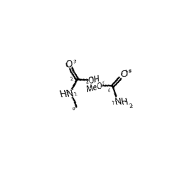 CNC(=O)O.COC(N)=O